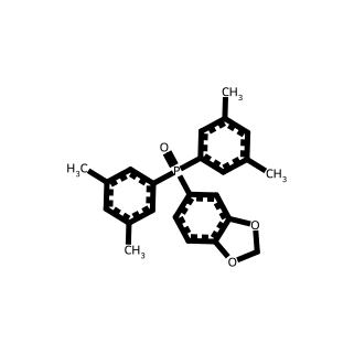 Cc1cc(C)cc(P(=O)(c2cc(C)cc(C)c2)c2ccc3c(c2)OCO3)c1